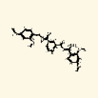 COc1ccc(CNC(=O)c2ccnc(C(=O)OC(N)c3ccc(OC)cc3OC)c2)c(OC)c1